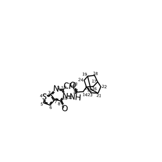 Cc1nc2sccc2c(=O)n1NC(=O)CC12CC3CC(CC(C3)C1)C2